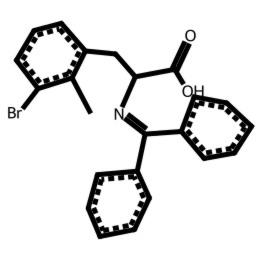 Cc1c(Br)cccc1CC(N=C(c1ccccc1)c1ccccc1)C(=O)O